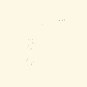 CCCCC1CCC(C2CCC(O)(c3ccc(OCc4ccccc4)cc3)CC2)CC1